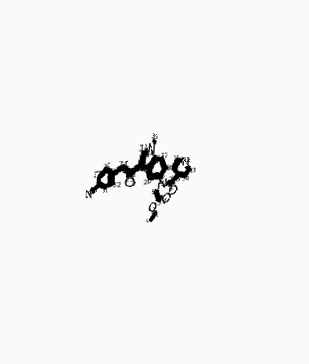 CCOC(=O)CN(C(=O)c1ccncc1)c1ccc2c(c1)c(C(=O)Cc1ccc(C#N)cc1)cn2C